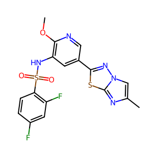 COc1ncc(-c2nn3cc(C)nc3s2)cc1NS(=O)(=O)c1ccc(F)cc1F